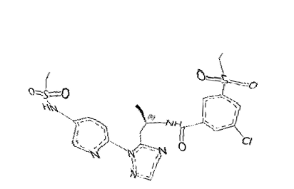 C[C@@H](NC(=O)c1cc(Cl)cc(S(C)(=O)=O)c1)c1ncnn1-c1ccc(NS(C)(=O)=O)cn1